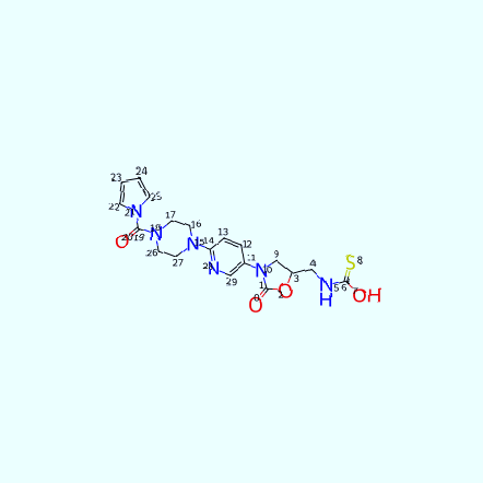 O=C1OC(CNC(O)=S)CN1c1ccc(N2CCN(C(=O)n3cccc3)CC2)nc1